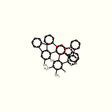 Cc1cc(-c2c(-c3c(C)c(C)cc4c3Cc3ccccc3-4)c(-c3ccccc3)cc3[se]c4ccccc4c23)c(-c2nnnc(-c3ccccc3)c2-c2ccccc2)c(F)c1C